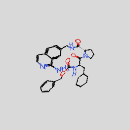 Nc1nccc2ccc(CNC(=O)[C@@H]3CCCN3C(=O)[C@@H](CC3CCCCC3)NC(=O)OCc3ccccc3)cc12